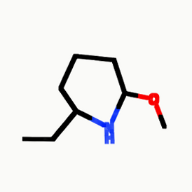 CCC1CCCC(OC)N1